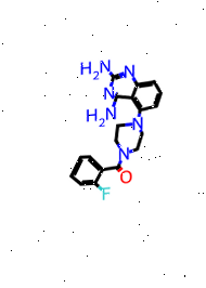 Nc1nc(N)c2c(N3CCN(C(=O)c4ccccc4F)CC3)cccc2n1